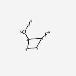 FC1CCC1OI